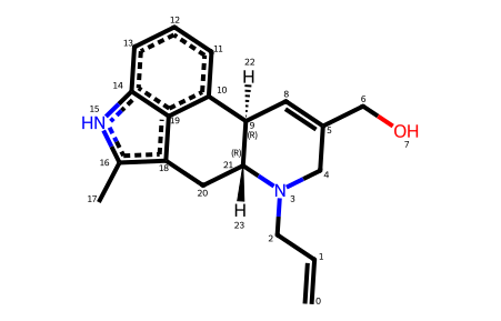 C=CCN1CC(CO)=C[C@@H]2c3cccc4[nH]c(C)c(c34)C[C@H]21